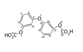 O=C(O)Oc1cccc(Oc2cccc(OC(=O)O)c2)c1